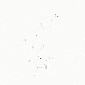 C=C1C(=O)NC(=O)N1c1cc(Cl)c(Nc2ccc(N(C)C)cc2)c(Cl)c1